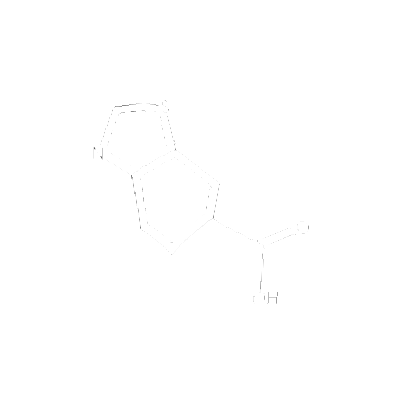 O=S(O)c1ccc2ncsc2c1